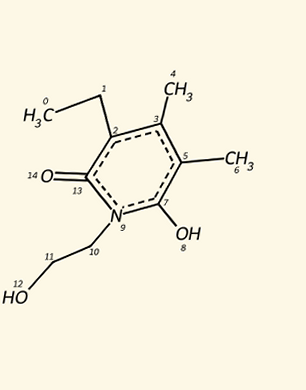 CCc1c(C)c(C)c(O)n(CCO)c1=O